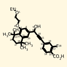 CCOCCOc1cc(C(O)C#Cc2ccc(C(=O)O)c(F)c2)cc2c1C(C)(C)CCC2(C)C